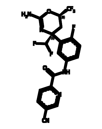 N#Cc1ccc(C(=O)Nc2ccc(F)c([C@]3(C(F)F)C[C@H](C(F)(F)F)OC(N)=N3)c2)nc1